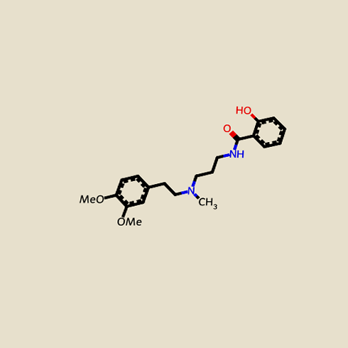 COc1ccc(CCN(C)CCCNC(=O)c2ccccc2O)cc1OC